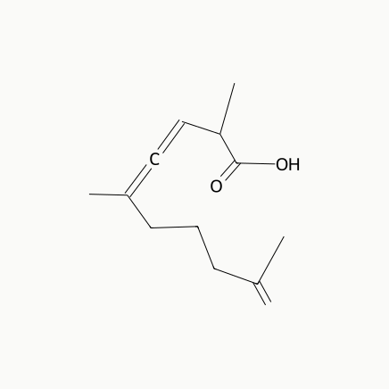 C=C(C)CCCC(C)=C=CC(C)C(=O)O